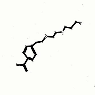 C=C(C)c1ccc(CCOCCOCCCS)cc1